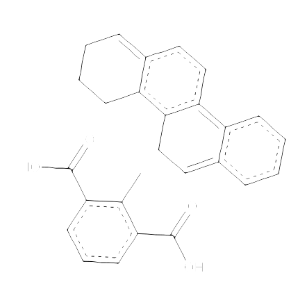 C1=c2ccc3c(c2CCC1)CC=c1ccccc1=3.Cc1c(C(=O)O)cccc1C(=O)O